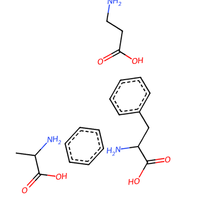 CC(N)C(=O)O.NC(Cc1ccccc1)C(=O)O.NCCC(=O)O.c1ccccc1